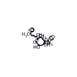 C/C(=C\C=C\C(C)c1ccccn1)[C@H]1OC(=O)C[C@@H](O)CC[C@](C)(O)[C@@H](OC(=O)N2CCOCC2)/C=C/[C@@H]1C